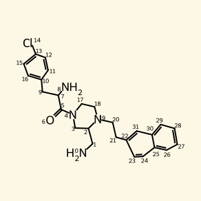 NCC1CN(C(=O)C(N)Cc2ccc(Cl)cc2)CCN1CCc1ccc2ccccc2c1